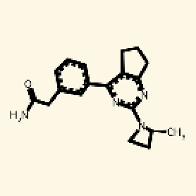 C[C@H]1CCN1c1nc2c(c(-c3cccc(CC(N)=O)c3)n1)CCC2